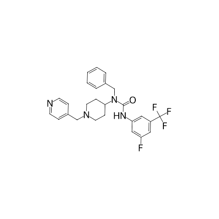 O=C(Nc1cc(F)cc(C(F)(F)F)c1)N(Cc1ccccc1)C1CCN(Cc2ccncc2)CC1